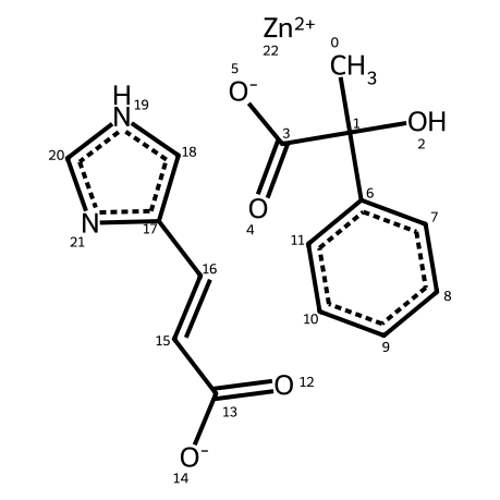 CC(O)(C(=O)[O-])c1ccccc1.O=C([O-])C=Cc1c[nH]cn1.[Zn+2]